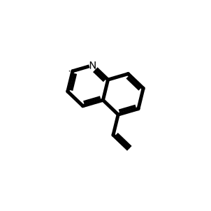 C=Cc1cccc2n[c]ccc12